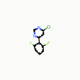 Fc1cccc(F)c1-c1cc(Cl)ncn1